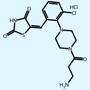 Cl.NCCC(=O)N1CCN(c2c(Cl)cccc2C=C2SC(=O)NC2=O)CC1